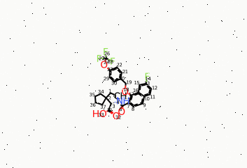 CCC1([C@H](NC(=O)c2ccc3ccc(F)cc3c2OCc2ccc(OC(F)(F)F)cc2)C(=O)O)CCCC1